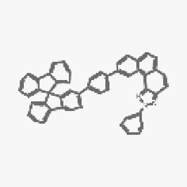 c1ccc(-n2nc3ccc4ccc5ccc(-c6ccc(-c7ccc8c(c7)C7(c9ccccc9-c9ccccc97)c7ccccc7-8)cc6)cc5c4c3n2)cc1